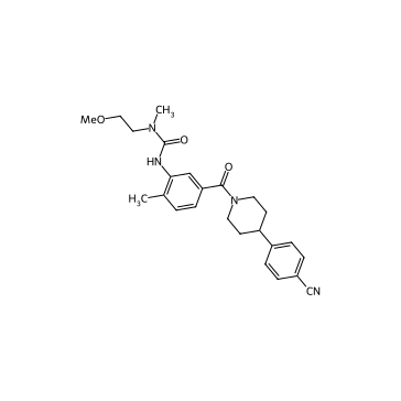 COCCN(C)C(=O)Nc1cc(C(=O)N2CCC(c3ccc(C#N)cc3)CC2)ccc1C